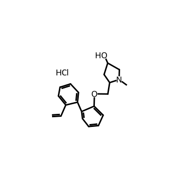 C=Cc1ccccc1-c1ccccc1OCC1CC(O)CN1C.Cl